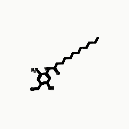 CCCCCCCCCCCC(=O)Nc1cc(O)c(C=O)cc1N